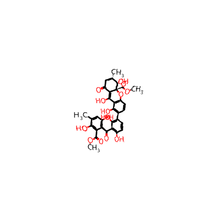 COC(=O)c1c(O)c(C)cc(O)c1C(=O)c1c(O)ccc(-c2ccc3c(c2O)C(O)=C2C(=O)C[C@H](C)[C@@H](O)[C@]2(C(=O)OC)O3)c1O